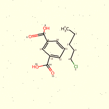 CCCCCCl.O=C(O)c1cccc(C(=O)O)c1